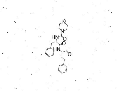 CN1CCN(C(=O)N[C@@H](Cc2ccccc2)C(=O)N[C@H](C=O)CCc2ccccc2)CC1